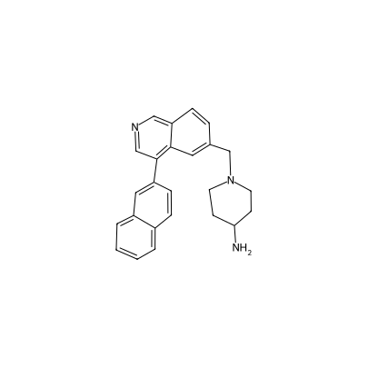 NC1CCN(Cc2ccc3cncc(-c4ccc5ccccc5c4)c3c2)CC1